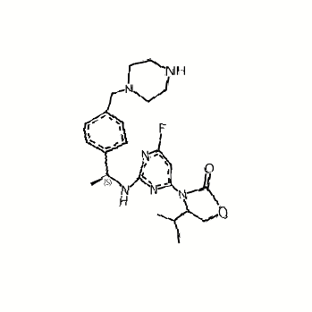 CC(C)C1COC(=O)N1c1cc(F)nc(N[C@@H](C)c2ccc(CN3CCNCC3)cc2)n1